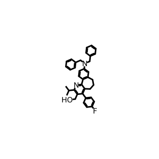 CC(C)c1nc2c(c(-c3ccc(F)cc3)c1CO)CCCc1cc(N(Cc3ccccc3)Cc3ccccc3)ccc1-2